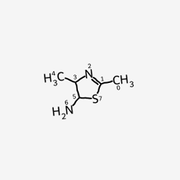 CC1=NC(C)C(N)S1